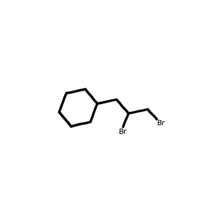 BrCC(Br)CC1CCCCC1